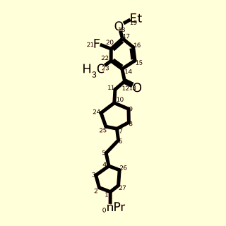 CCCC1CCC(CCC2CCC(CC(=O)c3ccc(OCC)c(F)c3C)CC2)CC1